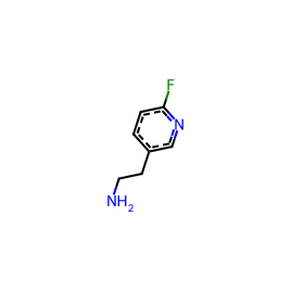 NCCc1ccc(F)nc1